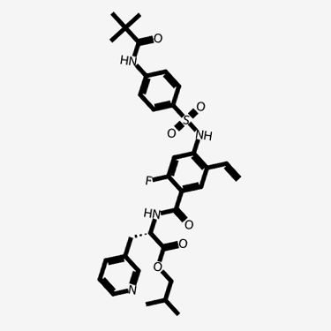 C=Cc1cc(C(=O)N[C@@H](Cc2cccnc2)C(=O)OCC(C)C)c(F)cc1NS(=O)(=O)c1ccc(NC(=O)C(C)(C)C)cc1